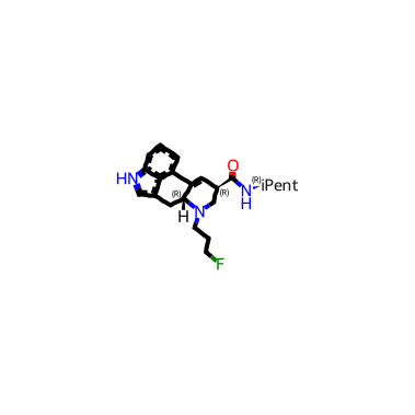 CCC[C@@H](C)NC(=O)[C@@H]1C=C2c3cccc4[nH]cc(c34)C[C@H]2N(CCCF)C1